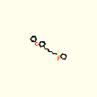 [O-][S+](c1ccccc1)C(F)CCC=CCc1cccc(Oc2ccccc2)c1